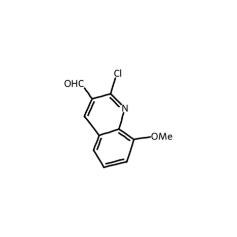 COc1cccc2cc(C=O)c(Cl)nc12